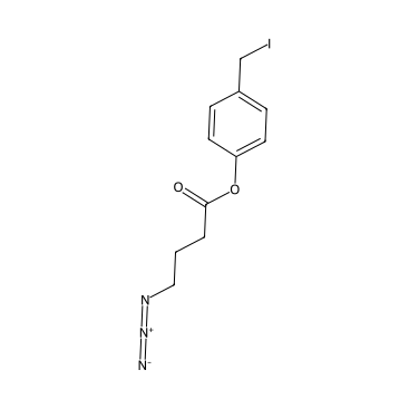 [N-]=[N+]=NCCCC(=O)Oc1ccc(CI)cc1